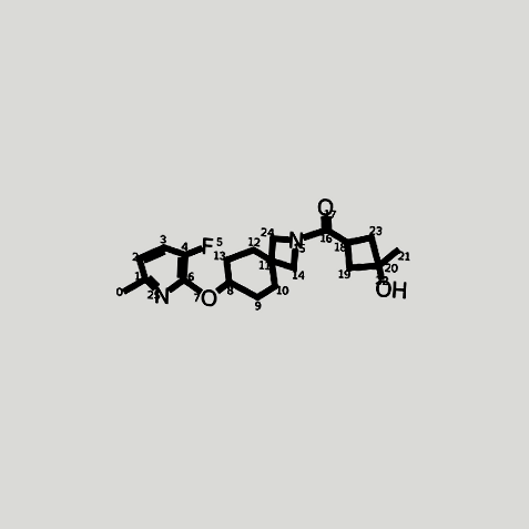 Cc1ccc(F)c(OC2CCC3(CC2)CN(C(=O)C2CC(C)(O)C2)C3)n1